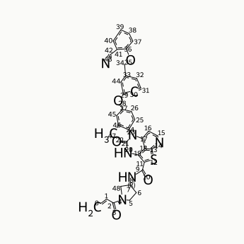 C=CC(=O)N1CC[C@@H](NC(=O)c2sc3nccc4c3c2NC(=O)N4c2ccc(Oc3cccc(COc4ccccc4C#N)c3)cc2C)C1